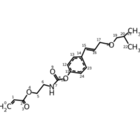 C=CC(=O)OCCNC(=O)Oc1ccc(/C=C/COCC(C)C)cc1